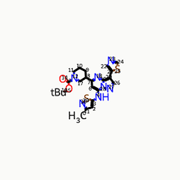 Cc1cc(Nc2cc(C3CCCN(C(=O)OC(C)(C)C)C3)nc3c(-c4cncs4)cnn23)sn1